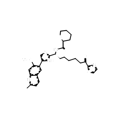 COc1cc2nc(C)ccc2cc1-c1cnc([C@H](CCCCCC(=O)c2ncco2)NC(=O)C2CCCCO2)[nH]1